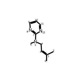 CC(C)=CCN(C)c1ncccn1